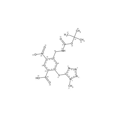 Cn1nnnc1Sc1cc(CNC(=O)OC(C)(C)C)c([N+](=O)[O-])cc1C(=O)O